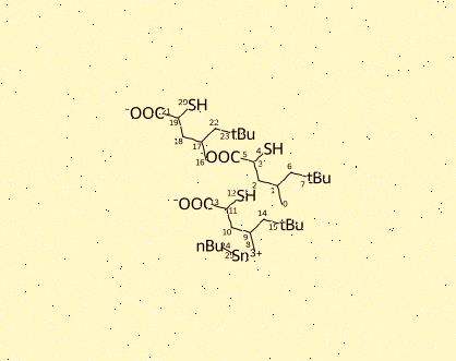 CC(CC(S)C(=O)[O-])CC(C)(C)C.CC(CC(S)C(=O)[O-])CC(C)(C)C.CC(CC(S)C(=O)[O-])CC(C)(C)C.CCC[CH2][Sn+3]